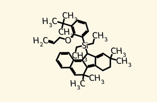 C=CCOc1c(C(C)(C)C)cccc1[Si](CC)(CC)C1C2=CC(C)(C)CCC2=C2C1=c1ccccc1=CC2(C)C